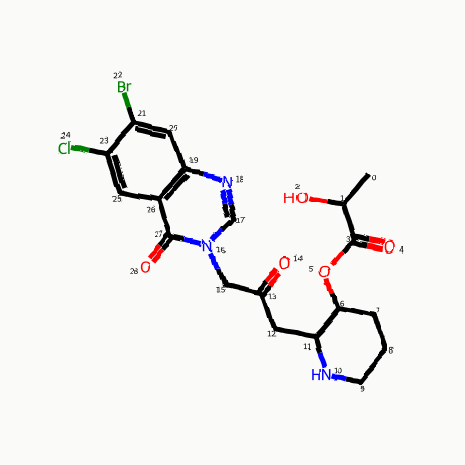 CC(O)C(=O)OC1CCCNC1CC(=O)Cn1cnc2cc(Br)c(Cl)cc2c1=O